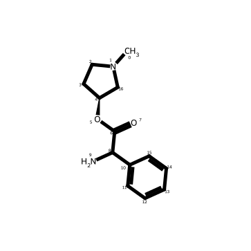 CN1CC[C@H](OC(=O)C(N)c2ccccc2)C1